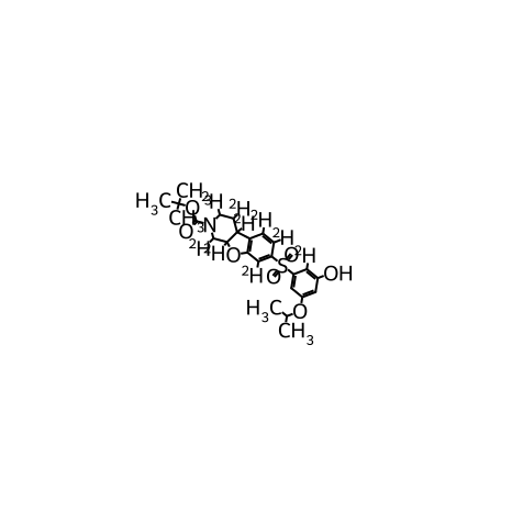 [2H]c1c(O)cc(OC(C)C)cc1S(=O)(=O)c1c([2H])c([2H])c2c(c1[2H])OC1([2H])C([2H])N(C(=O)OC(C)(C)C)C([2H])C([2H])C21[2H]